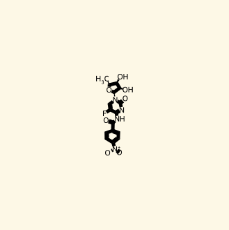 C[C@H]1O[C@@H](n2cc(F)c(NC(=O)c3ccc([N+](=O)[O-])cc3)nc2=O)[C@H](O)[C@@H]1O